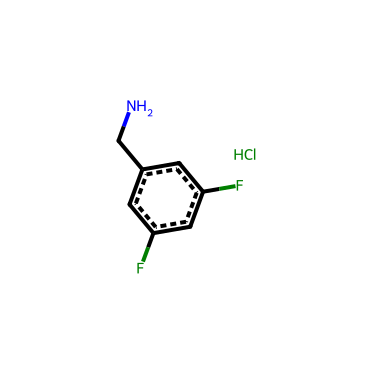 Cl.NCc1cc(F)cc(F)c1